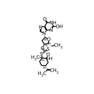 C=C(C)[C@@H]1CC[C@]2(C)S[P@@](=S)(O[C@H]3C[C@H](n4cnc5c(=O)[nH]c(O)nc54)O[C@@H]3CC)O[C@H]2C1